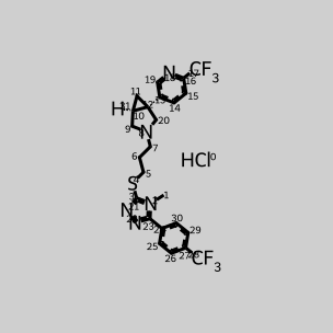 Cl.Cn1c(SCCCN2C[C@H]3C[C@@]3(c3ccc(C(F)(F)F)nc3)C2)nnc1-c1ccc(C(F)(F)F)cc1